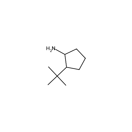 CC(C)(C)C1CCCC1N